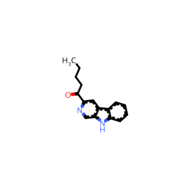 CCCCC(=O)c1cc2c(cn1)[nH]c1ccccc12